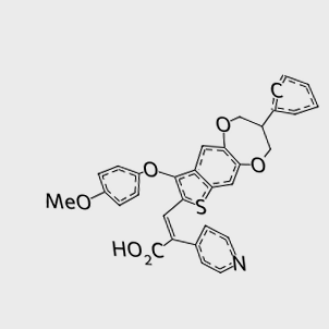 COc1ccc(Oc2c(C=C(C(=O)O)c3ccncc3)sc3cc4c(cc23)OCC(c2ccccc2)CO4)cc1